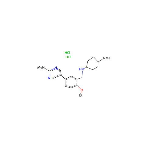 CCOc1ccc(-c2cnc(NC)nc2)cc1CNC1CCC(NC)CC1.Cl.Cl